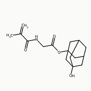 C=C(C)C(=O)NCC(=O)OC12CC3CC(CC(O)(C3)C1)C2